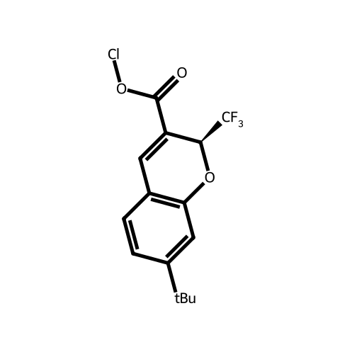 CC(C)(C)c1ccc2c(c1)O[C@H](C(F)(F)F)C(C(=O)OCl)=C2